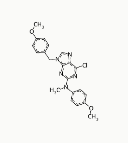 COc1ccc(Cn2cnc3c(Cl)nc(N(C)c4ccc(OC)cc4)nc32)cc1